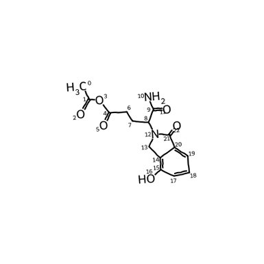 CC(=O)OC(=O)CCC(C(N)=O)N1Cc2c(O)cccc2C1=O